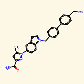 Cc1cc(C(N)=O)nn1-c1ccc2c(ccn2Cc2ccc(-c3ccc(CN)cc3)cc2)c1